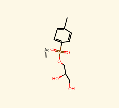 CC(C)=O.Cc1ccc(S(=O)(=O)OC[C@H](O)CO)cc1